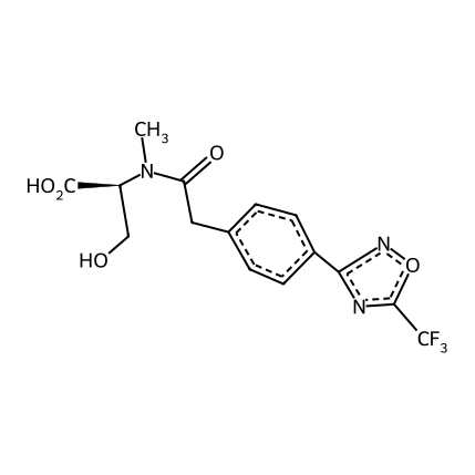 CN(C(=O)Cc1ccc(-c2noc(C(F)(F)F)n2)cc1)[C@@H](CO)C(=O)O